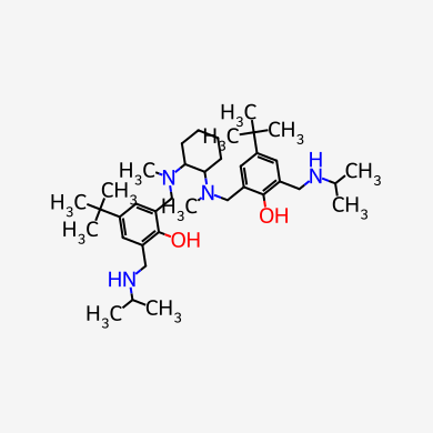 CC(C)NCc1cc(C(C)(C)C)cc(CN(C)C2CCCCC2N(C)Cc2cc(C(C)(C)C)cc(CNC(C)C)c2O)c1O